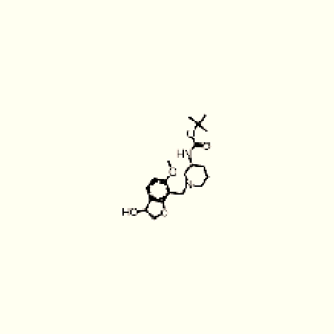 COc1ccc2c(c1CN1CCC[C@H](NC(=O)OC(C)(C)C)C1)OCC2O